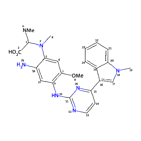 CNC(C(=O)O)N(C)c1cc(OC)c(Nc2nccc(-c3cn(C)c4ccccc34)n2)cc1N